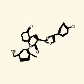 Cc1ccc(CO)cc1-n1c2c(cc(-c3nc(-c4ccc(Cl)cc4)cs3)c1=O)C(=O)CCC2